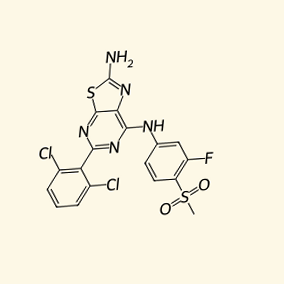 CS(=O)(=O)c1ccc(Nc2nc(-c3c(Cl)cccc3Cl)nc3sc(N)nc23)cc1F